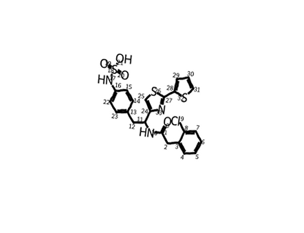 O=C(Cc1ccccc1Cl)NC(Cc1ccc(NS(=O)(=O)O)cc1)c1csc(-c2cccs2)n1